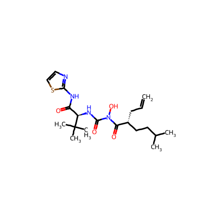 C=CC[C@H](CCC(C)C)C(=O)N(O)C(=O)N[C@H](C(=O)Nc1nccs1)C(C)(C)C